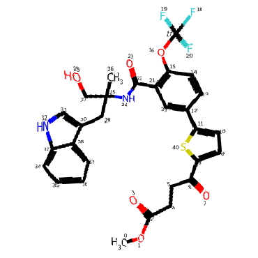 COC(=O)CCC(=O)c1ccc(-c2ccc(OC(F)(F)F)c(C(=O)NC(C)(CO)Cc3c[nH]c4ccccc34)c2)s1